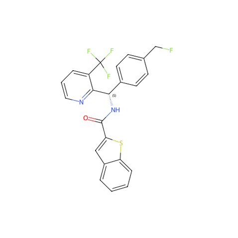 O=C(N[C@@H](c1ccc(CF)cc1)c1ncccc1C(F)(F)F)c1cc2ccccc2s1